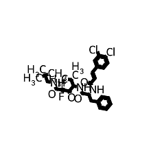 CC(C)C(NC(=O)C(Cc1ccccc1)NC(=O)C=Cc1ccc(Cl)c(Cl)c1)C(=O)C(F)(F)C(=O)NCC(C)(C)C